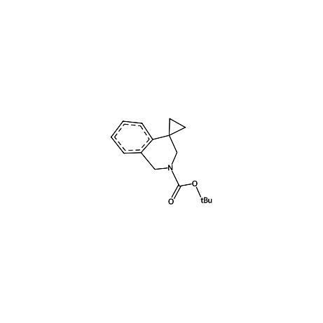 CC(C)(C)OC(=O)N1Cc2ccccc2C2(CC2)C1